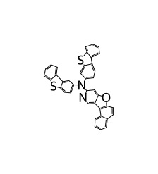 c1ccc2c(c1)ccc1oc3cc(N(c4ccc5c(c4)sc4ccccc45)c4ccc5sc6ccccc6c5c4)ncc3c12